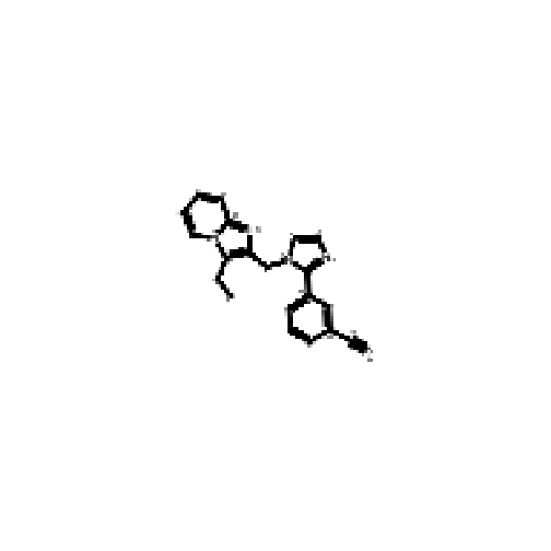 CCc1c(Cn2ccnc2-c2cccc(C#N)c2)nc2ccccn12